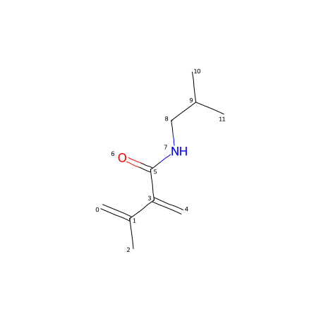 C=C(C)C(=C)C(=O)NCC(C)C